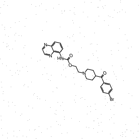 O=C(Nc1cccc2nccnc12)OCCN1CCC(C(=O)c2ccc(Br)cc2)CC1